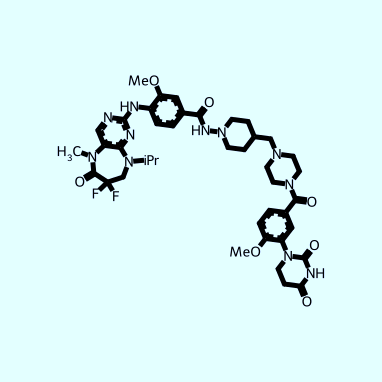 COc1cc(C(=O)NN2CCC(CN3CCN(C(=O)c4ccc(OC)c(N5CCC(=O)NC5=O)c4)CC3)CC2)ccc1Nc1ncc2c(n1)N(C(C)C)CC(F)(F)C(=O)N2C